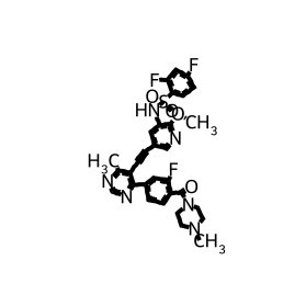 COc1ncc(C#Cc2c(C)ncnc2-c2ccc(C(=O)N3CCN(C)CC3)c(F)c2)cc1NS(=O)(=O)c1ccc(F)cc1F